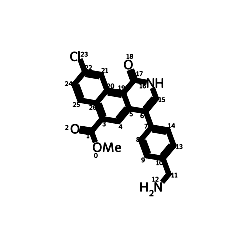 COC(=O)c1cc2c(-c3ccc(CN)cc3)c[nH]c(=O)c2c2cc(Cl)ccc12